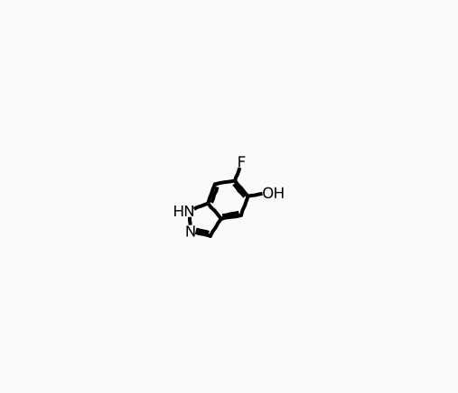 Oc1cc2cn[nH]c2cc1F